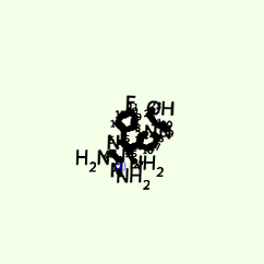 N/N=c1/c(N)nc(-c2ccc(F)cc2)c(-c2ccc3ncc(CO)n3c2)n1N